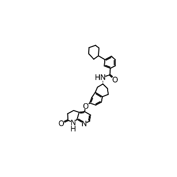 O=C1CCc2c(Oc3ccc4c(c3)C[C@H](NC(=O)c3cccc(C5CCCCC5)c3)CC4)ccnc2N1